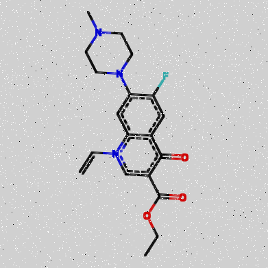 C=Cn1cc(C(=O)OCC)c(=O)c2cc(F)c(N3CCN(C)CC3)cc21